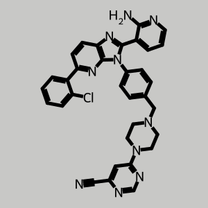 N#Cc1cc(N2CCN(Cc3ccc(-n4c(-c5cccnc5N)nc5ccc(-c6ccccc6Cl)nc54)cc3)CC2)ncn1